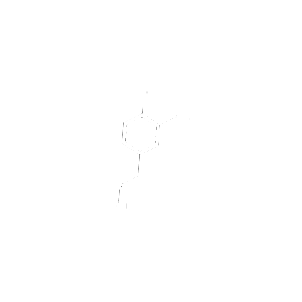 CNCc1ccc(O)c(C)c1